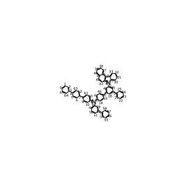 c1ccc(-c2ccc(-c3ccc(N(c4ccc(-c5cc(-c6ccccc6)cc(-n6c7ccccc7c7c8ccccc8ccc76)c5)cc4)c4cccc(-c5ccccc5)c4)cc3)cc2)cc1